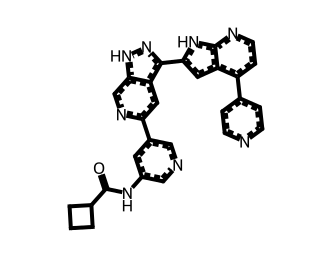 O=C(Nc1cncc(-c2cc3c(-c4cc5c(-c6ccncc6)ccnc5[nH]4)n[nH]c3cn2)c1)C1CCC1